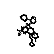 CC1CCC(Cn2c(N3CCOC[C@H]3c3ccccc3)nc3nc([S+](C)[O-])nc(NCCC4CCC4)c32)CC1